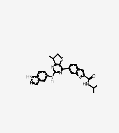 CC(C)NC(=O)c1cc2ccc(-c3nc(Nc4ccc5[nH]ncc5c4)nc4c3SCC4C)cc2s1